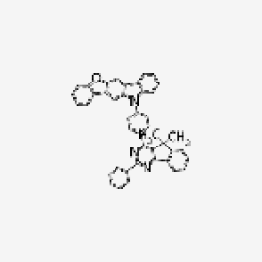 CC1(C)c2ccccc2-c2nc(-c3ccccc3)nc(-c3ccc(-n4c5ccccc5c5cc6oc7ccccc7c6cc54)cc3)c21